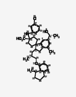 Cc1cc([C@@H](C)O)cc2c1CC(C[C@@H](C)COc1ccnc3c1[C@H](C)CCC3)C21CCC(Nc2cccc(Cl)c2)(C(=O)O)CC1